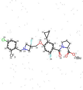 CC(C)(C)OC(=O)[C@@H]1CCCN1C(=O)c1cc(C2CC2)c(OCC2(F)CN(Cc3ccc(Cl)cc3C(F)(F)F)C2)cc1F